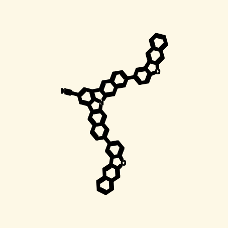 N#Cc1cc2c3cc4ccc(-c5ccc6oc7cc8ccccc8cc7c6c5)cc4cc3n3c4cc5cc(-c6ccc7oc8cc9ccccc9cc8c7c6)ccc5cc4c(c1)c23